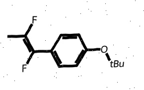 CC(F)=C(F)c1ccc(OC(C)(C)C)cc1